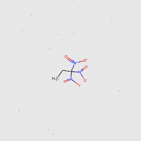 [CH2]CC([N+](=O)[O-])([N+](=O)[O-])[N+](=O)[O-]